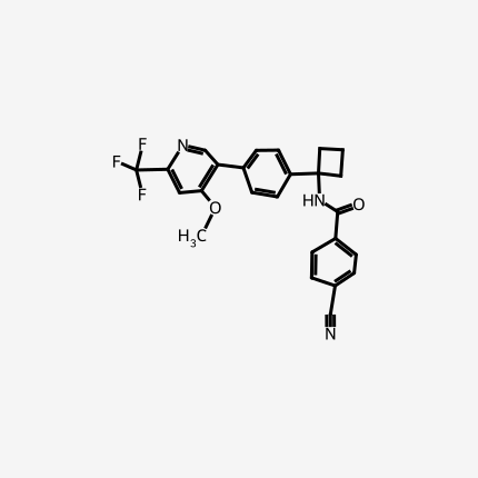 COc1cc(C(F)(F)F)ncc1-c1ccc(C2(NC(=O)c3ccc(C#N)cc3)CCC2)cc1